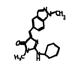 CN1C(=O)/C(=C/c2ccc3c(cnn3C)c2)N=C1NC1CCCCC1